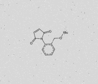 CC(C)(C)OCc1ccccc1N1C(=O)C=CC1=O